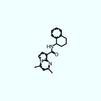 Cc1cc(C)n2ccc(C(=O)NC3CCCc4ccccc43)c2n1